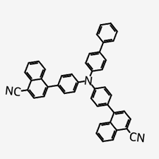 N#Cc1ccc(-c2ccc(N(c3ccc(-c4ccccc4)cc3)c3ccc(-c4ccc(C#N)c5ccccc45)cc3)cc2)c2ccccc12